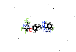 Fc1nc(C(F)(F)F)nc(Oc2ccc(CCNc3ncnc4c(F)ccc(F)c34)cc2)c1F